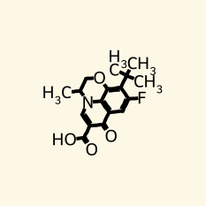 CC1COc2c(C(C)(C)C)c(F)cc3c(=O)c(C(=O)O)cn1c23